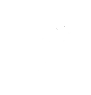 COC(=O)c1cc(-c2nnn[nH]2)nc2ccccc12